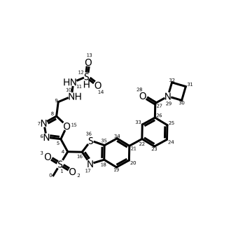 CS(=O)(=O)C(c1nnc(CNN[SH](=O)=O)o1)c1nc2ccc(-c3cccc(C(=O)N4CCC4)c3)cc2s1